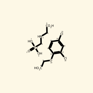 O=C(O)CNCP(=O)(O)O.O=C(O)COc1ccc(Cl)cc1Cl